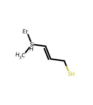 CC[SiH](C)C=CCS